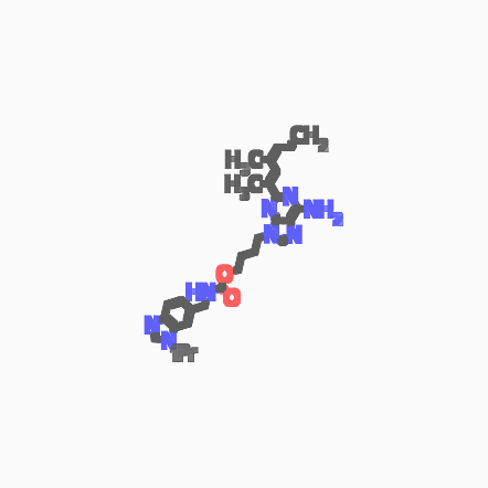 C=C/C=C(C)\C=C(/C)c1nc(N)c2ncn(CCCCOC(=O)NCc3ccc4ncn(C(C)C)c4c3)c2n1